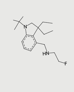 CCC1(CC)CN(C(C)(C)C)c2cccc(CNCCF)c21